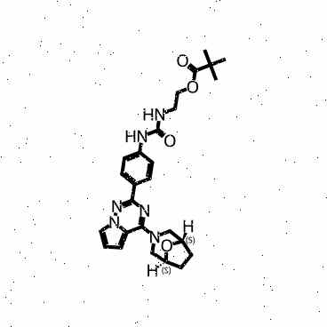 CC(C)(C)C(=O)OCCNC(=O)Nc1ccc(-c2nc(N3C[C@@H]4CC[C@@H](C3)O4)c3cccn3n2)cc1